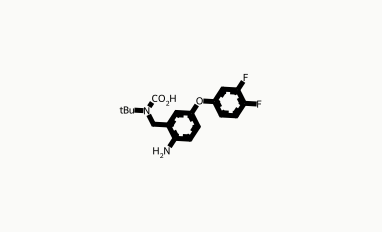 CC(C)(C)N(Cc1cc(Oc2ccc(F)c(F)c2)ccc1N)C(=O)O